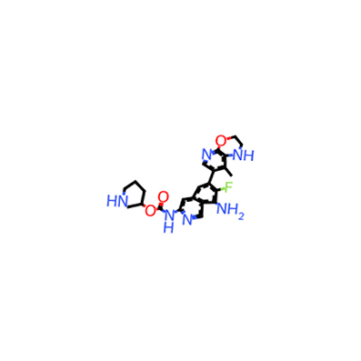 Cc1c(-c2cc3cc(NC(=O)OC4CCCNC4)ncc3c(N)c2F)cnc2c1NCCO2